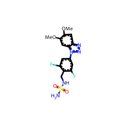 COc1cc2nnn(-c3cc(F)c(CNS(N)(=O)=O)c(F)c3)c2cc1OC